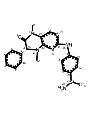 CN1C(=O)[C@@H](c2ccccc2)N(C)c2nc(Nc3ccc([S+](N)[O-])cc3)ncc21